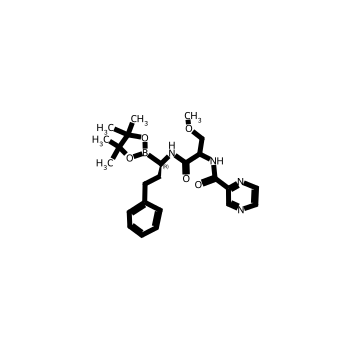 COCC(NC(=O)c1cnccn1)C(=O)N[C@@H](CCc1ccccc1)B1OC(C)(C)C(C)(C)O1